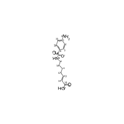 Nc1ccc(S(=O)(=O)NCCCC/C=C/C(=O)O)cc1